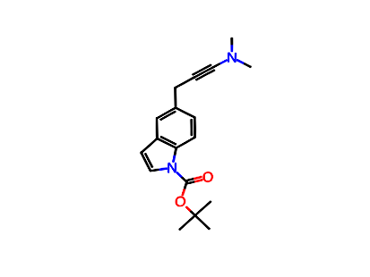 CN(C)C#CCc1ccc2c(ccn2C(=O)OC(C)(C)C)c1